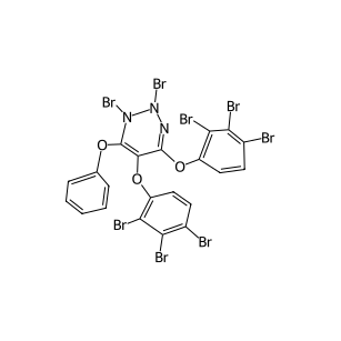 Brc1ccc(OC2=NN(Br)N(Br)C(Oc3ccccc3)=C2Oc2ccc(Br)c(Br)c2Br)c(Br)c1Br